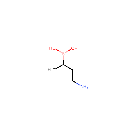 CC(CCN)B(O)O